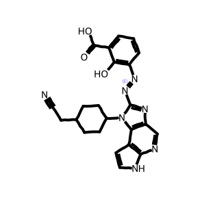 N#CCC1CCC(n2c(/N=N/c3cccc(C(=O)O)c3O)nc3cnc4[nH]ccc4c32)CC1